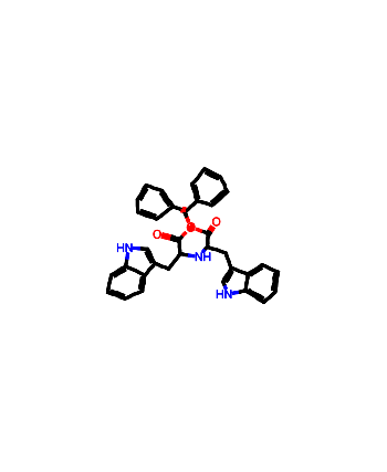 O=C(OCc1ccccc1)C(Cc1c[nH]c2ccccc12)NC(Cc1c[nH]c2ccccc12)C(=O)OCc1ccccc1